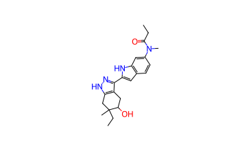 CCC(=O)N(C)c1ccc2cc(-c3n[nH]c4c3CC(O)C(C)(CC)C4)[nH]c2c1